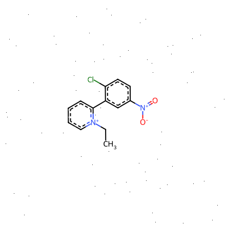 CC[n+]1ccccc1-c1cc([N+](=O)[O-])ccc1Cl